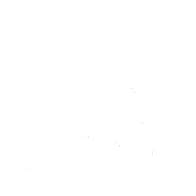 Cc1nc(NCc2cccc(F)c2)nc(-n2c(C)cc3c(C(=O)O)cccc32)n1